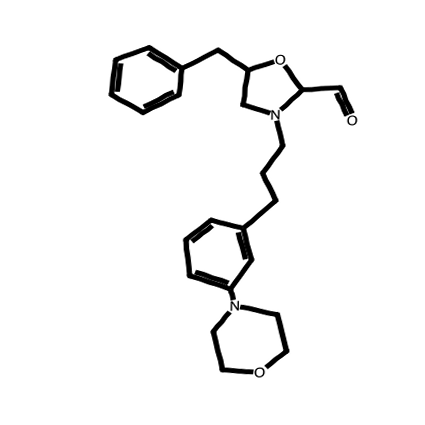 O=CC1OC(Cc2ccccc2)CN1CCCc1cccc(N2CCOCC2)c1